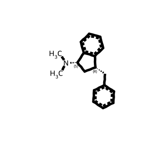 CN(C)[C@H]1C[C@@H](Cc2ccccc2)c2ccccc21